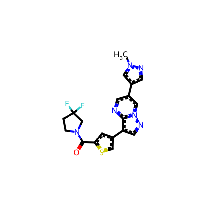 Cn1cc(-c2cnc3c(-c4csc(C(=O)N5CCC(F)(F)C5)c4)cnn3c2)cn1